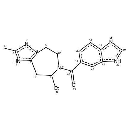 CCC1Cc2[nH]c(C)nc2CCN1C(=O)c1ccc2nc[nH]c2c1